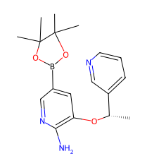 C[C@H](Oc1cc(B2OC(C)(C)C(C)(C)O2)cnc1N)c1cccnc1